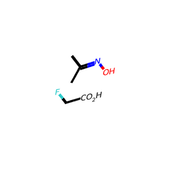 CC(C)=NO.O=C(O)CF